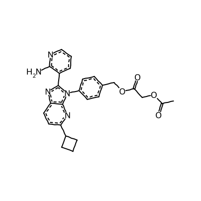 CC(=O)OCC(=O)OCc1ccc(-n2c(-c3cccnc3N)nc3ccc(C4CCC4)nc32)cc1